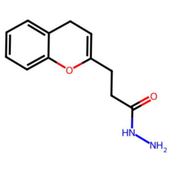 NNC(=O)CCC1=CCc2ccccc2O1